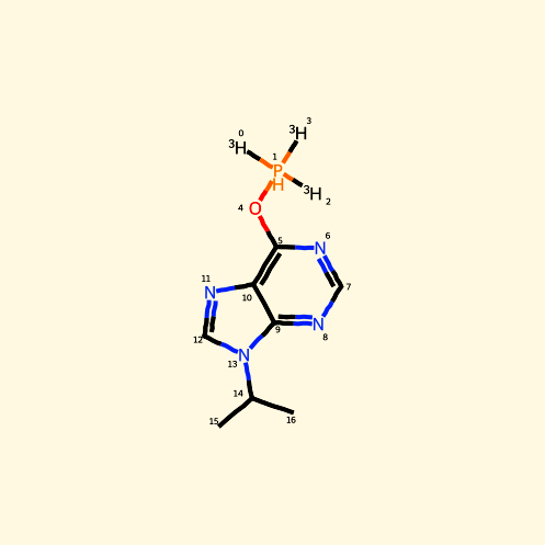 [3H][PH]([3H])([3H])Oc1ncnc2c1ncn2C(C)C